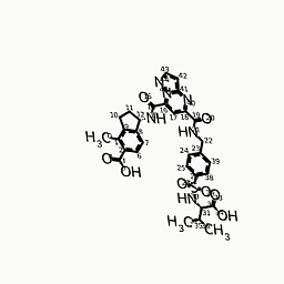 Cc1c(C(=O)O)ccc2c1CC[C@@H]2NC(=O)c1cc(C(=O)NCc2ccc(S(=O)(=O)N[C@@H](C(=O)O)C(C)C)cc2)nc2ccnn12